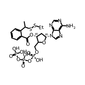 CCSSC(C)c1ccccc1C(=O)O[C@@H]1C[C@H](n2cnc3c(N)ncnc32)OC1COP(=O)(O)OP(=O)(O)OP(=O)(O)O